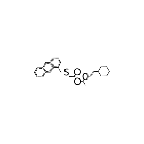 CC(OCCC1CCCCC1)OC(=O)CSCc1cccc2cc3ccccc3cc12